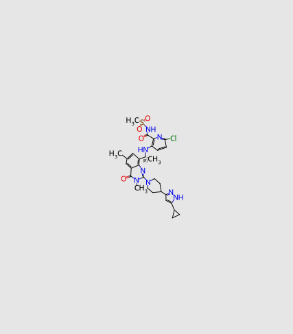 Cc1cc([C@@H](C)Nc2ccc(Cl)nc2C(=O)NS(C)(=O)=O)c2nc(N3CCC(c4cc(C5CC5)[nH]n4)CC3)n(C)c(=O)c2c1